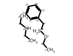 CCNCC.CCO[SiH2]Cc1ccccc1